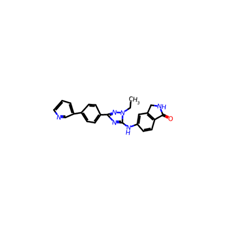 CCn1nc(-c2ccc(-c3cccnc3)cc2)nc1Nc1ccc2c(c1)CNC2=O